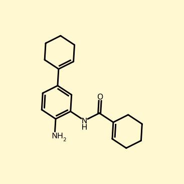 Nc1ccc(C2=CCCCC2)cc1NC(=O)C1=CCCCC1